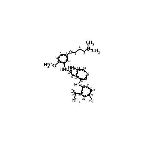 COc1ccc(OCCCN(C)C)cc1Nc1cc2c(Nc3ccc(F)cc3C(N)=O)cncc2[nH]1